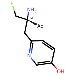 CC(=O)[C@](N)(CF)Cc1ccc(O)cn1